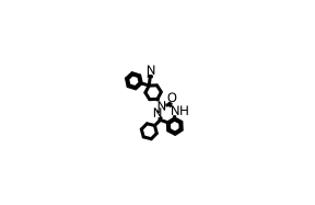 N#CC1(c2ccccc2)CCC(N2N=C(C3CCCCC3)c3ccccc3NC2=O)CC1